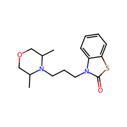 CC1COCC(C)N1CCCn1c(=O)sc2ccccc21